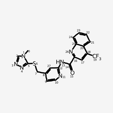 Cn1cnnc1SCc1ccnc(NC(=O)c2cc(C(F)(F)F)c3ccccc3n2)c1